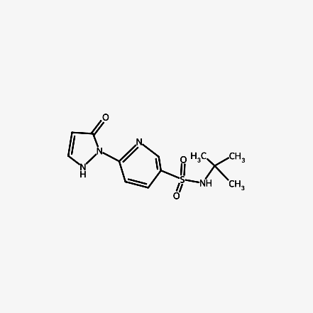 CC(C)(C)NS(=O)(=O)c1ccc(-n2[nH]ccc2=O)nc1